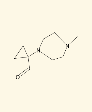 CN1CCN(C2(C=O)CC2)CC1